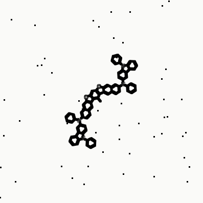 Cc1c2c(cc3oc4cc5cc(N(c6ccccc6)c6ccc7c(c6)c6ccccc6n7-c6ccccc6)ccc5cc4c13)oc1cc3cc(N(c4ccccc4)c4ccc5c(c4)c4ccccc4n5-c4ccccc4)ccc3cc12